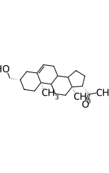 CC(=O)[C@H]1CCC2C3CC=C4C[C@@H](CO)CC[C@]4(C)C3CC[C@@]21C